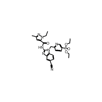 CCOP(=O)(OCC)c1ccc(Cn2c(NC(=O)c3cc(C)nn3CC)nc3cc(C#N)ccc32)nc1